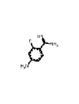 N=C(N)c1ccc(N)cc1F